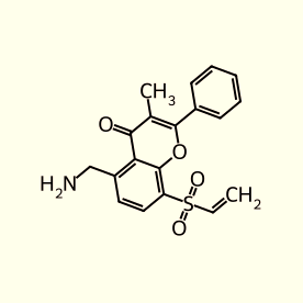 C=CS(=O)(=O)c1ccc(CN)c2c(=O)c(C)c(-c3ccccc3)oc12